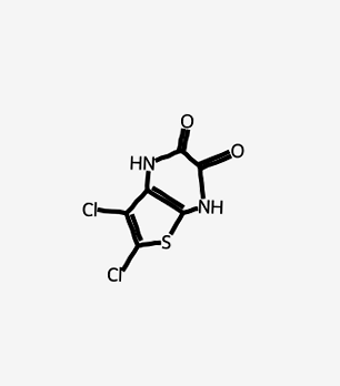 O=c1[nH]c2sc(Cl)c(Cl)c2[nH]c1=O